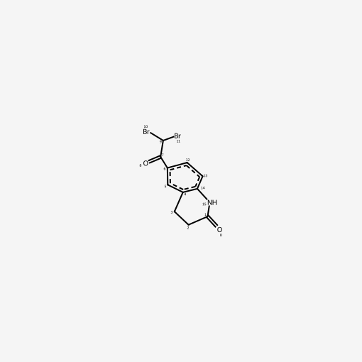 O=C1CCc2cc(C(=O)C(Br)Br)ccc2N1